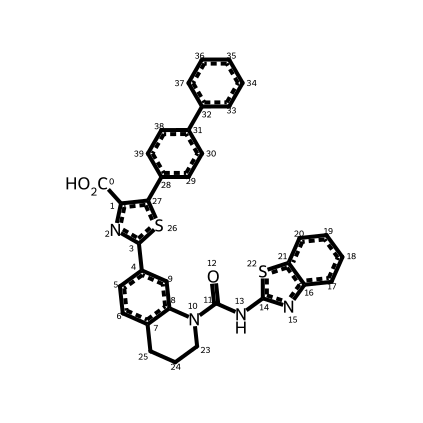 O=C(O)c1nc(-c2ccc3c(c2)N(C(=O)Nc2nc4ccccc4s2)CCC3)sc1-c1ccc(-c2ccccc2)cc1